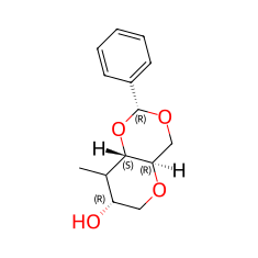 CC1[C@@H](O)CO[C@@H]2CO[C@@H](c3ccccc3)O[C@@H]12